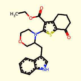 CCOC(=O)c1c(N2CCOCC2Cc2c[nH]c3ccccc23)sc2c1CCCC2=O